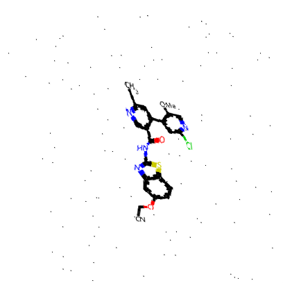 COc1cnc(Cl)cc1-c1cc(C)ncc1C(=O)Nc1nc2cc(OCC#N)ccc2s1